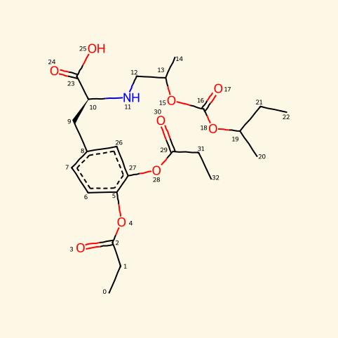 CCC(=O)Oc1ccc(C[C@H](NCC(C)OC(=O)OC(C)CC)C(=O)O)cc1OC(=O)CC